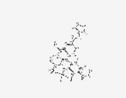 Cc1c(-c2c([C@H](OC(C)(C)C)C(=O)O)n(C)c(=O)c3cc(OCc4cccs4)ccc23)cc(F)c2c1CCCO2